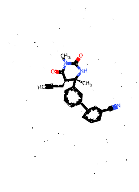 C#CC[C@H]1C(=O)N(C)C(=O)N[C@]1(C)c1cccc(-c2cccc(C#N)c2)c1